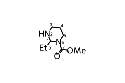 CCC1NCCCN1C(=O)OC